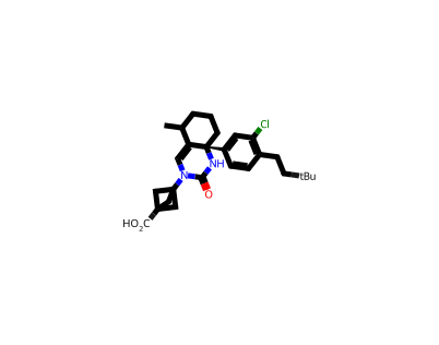 CC1CCC[C@]2(c3ccc(CCC(C)(C)C)c(Cl)c3)NC(=O)N(C34CC(C(=O)O)(C3)C4)C=C12